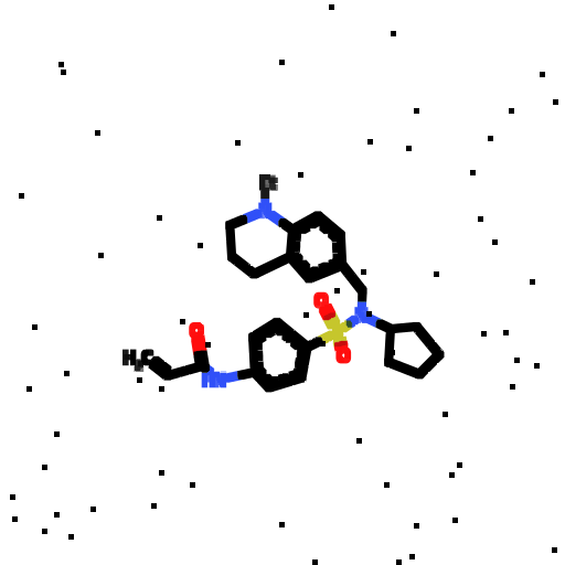 C=CC(=O)Nc1ccc(S(=O)(=O)N(Cc2ccc3c(c2)CCCN3CC)C2CCCC2)cc1